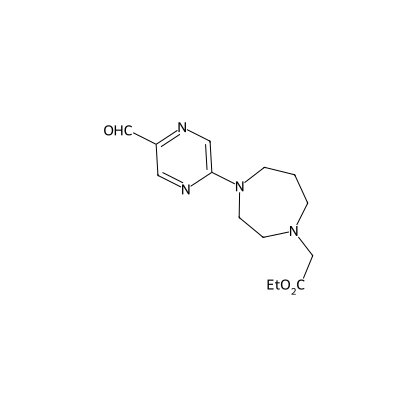 CCOC(=O)CN1CCCN(c2cnc(C=O)cn2)CC1